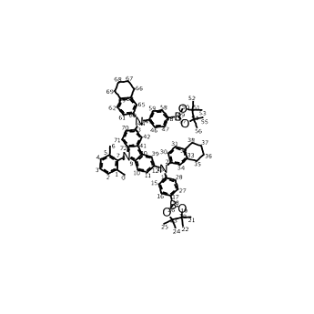 Cc1cccc(C)c1-n1c2ccc(N(c3ccc(B4OC(C)(C)C(C)(C)O4)cc3)c3ccc4c(c3)CCCC4)cc2c2cc(N(c3ccc(B4OC(C)(C)C(C)(C)O4)cc3)c3ccc4c(c3)CCCC4)ccc21